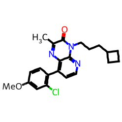 COc1ccc(-c2ccnc3c2nc(C)c(=O)n3CCCC2CCC2)c(Cl)c1